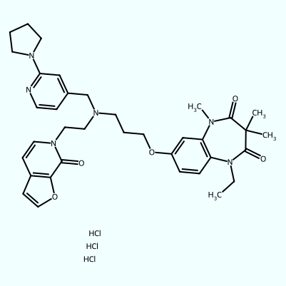 CCN1C(=O)C(C)(C)C(=O)N(C)c2cc(OCCCN(CCn3ccc4ccoc4c3=O)Cc3ccnc(N4CCCC4)c3)ccc21.Cl.Cl.Cl